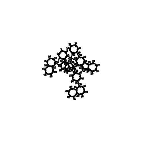 c1ccc2c(c1)-c1ccccc1C21c2ccccc2-c2cc3c(oc4ccccc43)c(N(c3ccc(-c4cccc5ccccc45)cc3)c3ccc(-c4cccc5ccccc45)cc3)c21